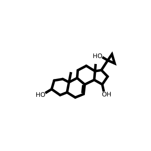 CC12CCC(O)CC1CC=C1C2CCC2(C)C1C(O)CC2C1(O)CC1